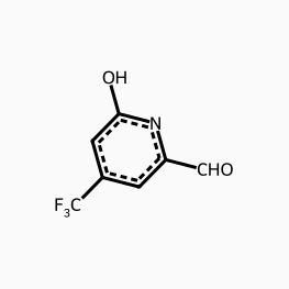 O=Cc1cc(C(F)(F)F)cc(O)n1